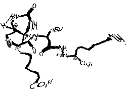 CCCCC(NC(=O)[C@@]1(CCCCC(=O)O)SC[C@@H]2NC(=O)N[C@@H]21)C(=O)NN[C@@H](CCCCN)C(=O)O